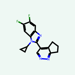 Fc1cc2nc(-c3cnnc4c3CCC4)n(C3CC3)c2cc1F